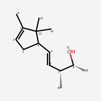 CC1=CCC(C=C[C@@H](C)[C@@H](C)O)C1(C)C